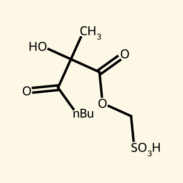 CCCCC(=O)C(C)(O)C(=O)OCS(=O)(=O)O